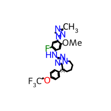 COc1cc(Nc2nc3n(n2)CCCC[C@H]3c2ccc(OCC(F)(F)F)cc2)c(F)cc1-n1cnc(C)n1